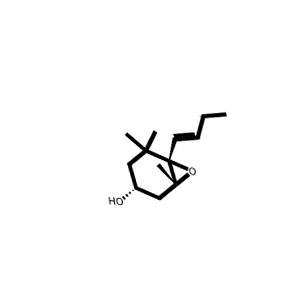 C[CH]/C=C/[C@@]12O[C@]1(C)C[C@H](O)CC2(C)C